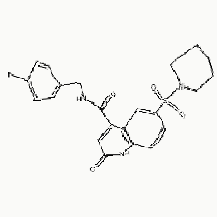 O=C(NCc1ccc(F)cc1)c1cc(=O)[nH]c2ccc(S(=O)(=O)N3CCCCCC3)cc12